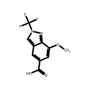 COc1cc(C(=O)O)cc2cn(C(F)(F)F)nc12